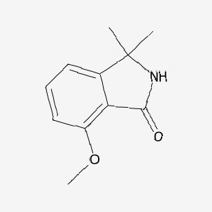 COc1cccc2c1C(=O)NC2(C)C